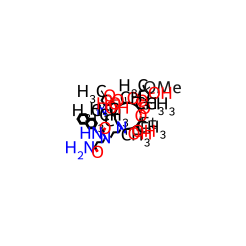 CC[C@H]1OC(=O)[C@H](C)[C@@H](O[C@H]2C[C@@](C)(OC)[C@@H](O)[C@H](C)O2)[C@H](C)[C@@H](O[C@@H]2O[C@H](C)C[C@H](N(C)C)[C@H]2O)[C@](C)(O)C[C@@H](C)CN(CCCN(CCC(N)=O)C(=O)Nc2ccc3ccccc3c2)[C@H](C)[C@@H](O)[C@]1(C)O